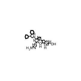 Nc1ncn(-c2nc(NCC(c3ccccc3)c3ccccc3)c3ncn([C@@H]4C[C@H](NC(=O)CO)[C@@H](O)[C@H]4O)c3n2)n1